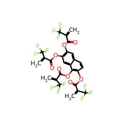 C=C(C(=O)Oc1cc2ccc(OC(=O)C(=C)C(F)(F)F)c(OC(=O)C(=C)C(F)(F)F)c2cc1OC(=O)C(=C)C(F)(F)F)C(F)(F)F